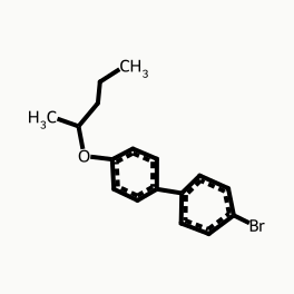 CCCC(C)Oc1ccc(-c2ccc(Br)cc2)cc1